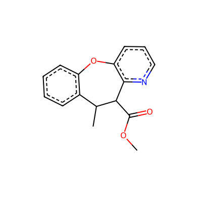 COC(=O)C1c2ncccc2Oc2ccccc2C1C